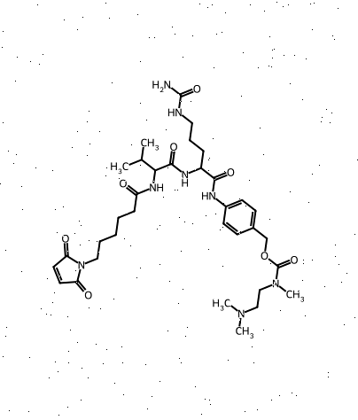 CC(C)C(NC(=O)CCCCCN1C(=O)C=CC1=O)C(=O)NC(CCCNC(N)=O)C(=O)Nc1ccc(COC(=O)N(C)CCN(C)C)cc1